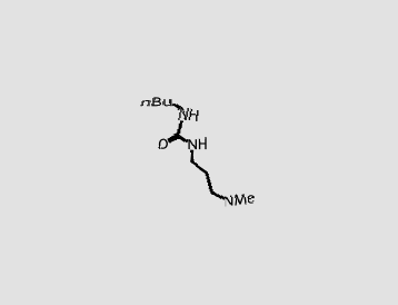 CCCCNC(=O)NCCCNC